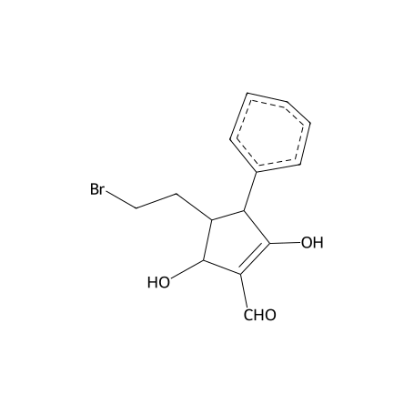 O=CC1=C(O)C(c2ccccc2)C(CCBr)C1O